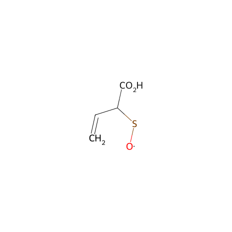 C=CC(S[O])C(=O)O